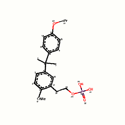 COc1ccc(C(C)(C)c2ccc(OC(C)C)cc2)cc1CCOP(=O)(O)O